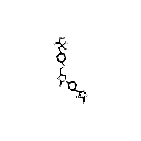 CCC(N)(Cc1ccc(OCC2CN(c3ccc(-c4noc(=O)[nH]4)cc3)C(=O)O2)cc1)C(=O)OC